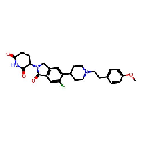 COc1ccc(CCN2CCC(c3cc4c(cc3F)C(=O)N(C3CCC(=O)NC3=O)C4)CC2)cc1